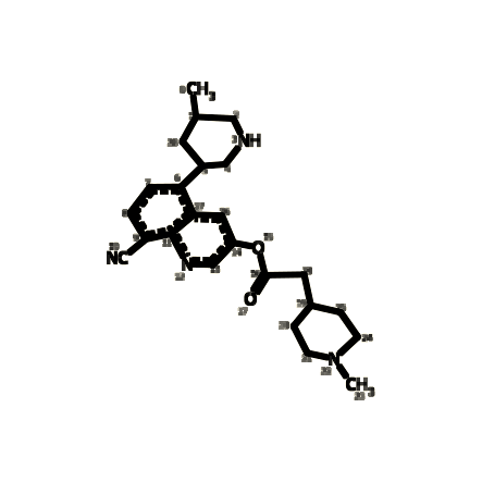 CC1CNCC(c2ccc(C#N)c3ncc(OC(=O)CC4CCN(C)CC4)cc23)C1